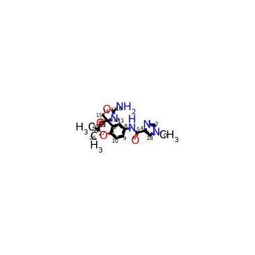 Cn1cnc(C(=O)Nc2ccc3c(c2)C2(COC(N)=N2)C2(COC2)C(C)(C)O3)c1